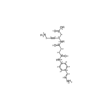 NCC#CC(CC(=O)O)NC(=O)CCC(=O)Nc1ccc(C=NN)cc1